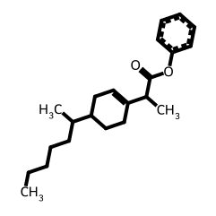 CCCCCC(C)C1CC=C(C(C)C(=O)Oc2ccccc2)CC1